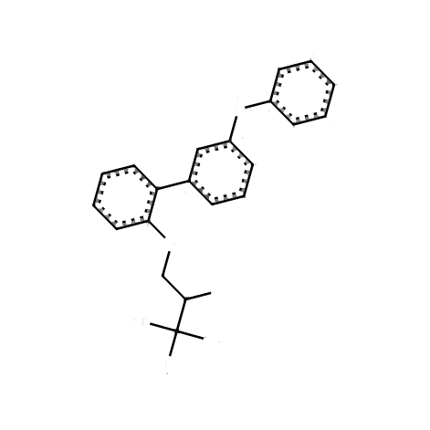 OC(COc1ccccc1-c1cccc(Oc2ccccc2)c1)C(F)(F)F